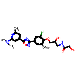 COc1cc(-c2noc(-c3cc(C)nc(N(C)C(C)C)c3)n2)cc(Cl)c1OCC(O)CNC(=O)CO